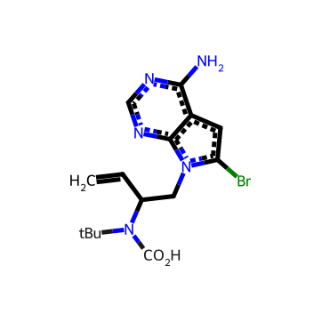 C=CC(Cn1c(Br)cc2c(N)ncnc21)N(C(=O)O)C(C)(C)C